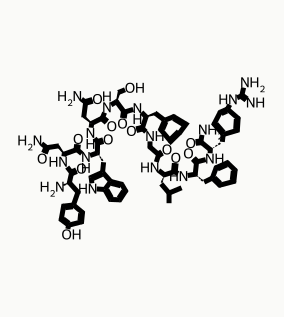 CC(C)C[C@H](NC(=O)CNC(=O)[C@H](Cc1ccccc1)NC(=O)[C@H](CO)NC(=O)[C@H](CC(N)=O)NC(=O)[C@H](Cc1c[nH]c2ccccc12)NC(=O)[C@H](CC(N)=O)NC(=O)[C@@H](N)Cc1ccc(O)cc1)C(=O)N[C@@H](Cc1ccccc1)C(=O)N[C@@H](Cc1ccc(NC(=N)N)cc1)C(N)=O